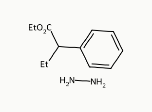 CCOC(=O)C(CC)c1ccccc1.NN